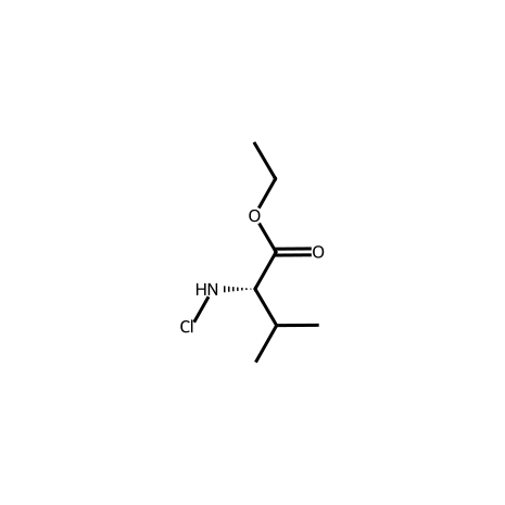 CCOC(=O)[C@@H](NCl)C(C)C